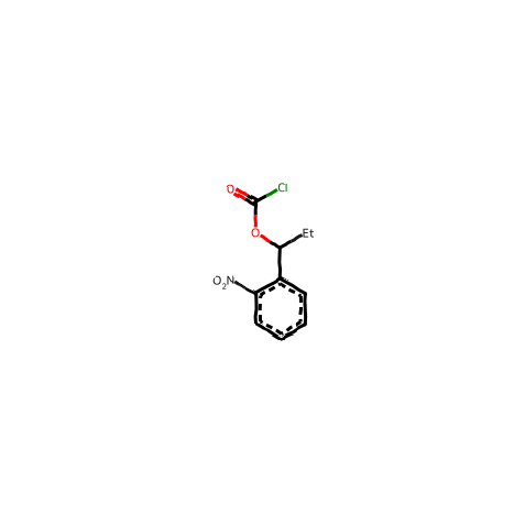 CCC(OC(=O)Cl)c1ccccc1[N+](=O)[O-]